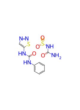 NC(=O)N[SH](=O)=O.O=C(Nc1ccccc1)Nc1cnns1